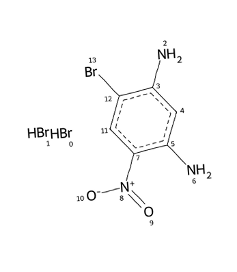 Br.Br.Nc1cc(N)c([N+](=O)[O-])cc1Br